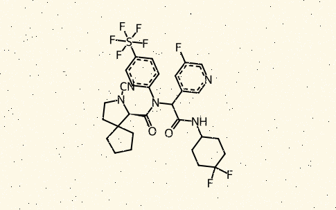 N#CN1CCC2(CCCC2)[C@@H]1C(=O)N(c1ccc(S(F)(F)(F)(F)F)cc1)C(C(=O)NC1CCC(F)(F)CC1)c1cncc(F)c1